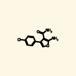 NC(=O)c1c(-c2ccc(Cl)cc2)coc1N